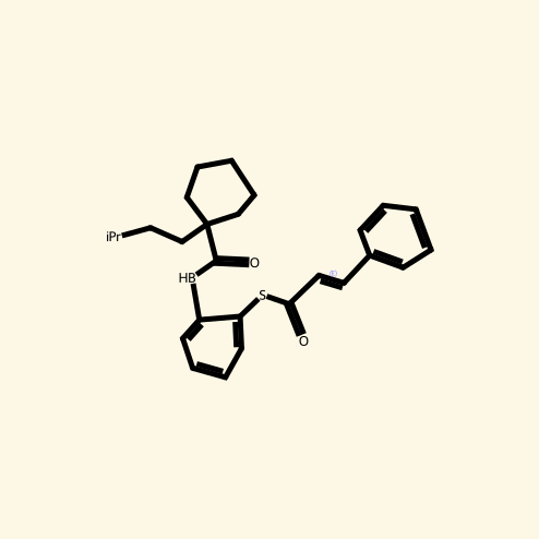 CC(C)CCC1(C(=O)Bc2ccccc2SC(=O)/C=C/c2ccccc2)CCCCC1